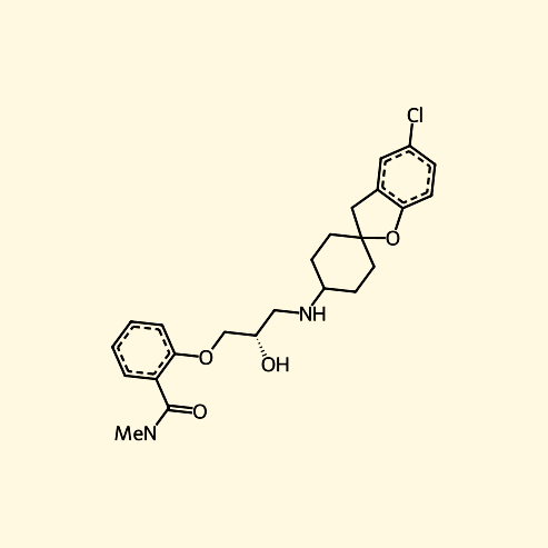 CNC(=O)c1ccccc1OC[C@@H](O)CNC1CCC2(CC1)Cc1cc(Cl)ccc1O2